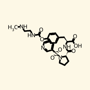 CNCCNC(=O)Oc1ccc(C[C@H](NC(=O)[C@@H]2CCCN2S(=O)(=O)c2cccnc2)C(=O)O)cc1